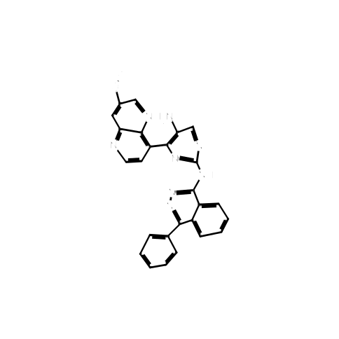 COc1cnc2c(-c3nc(Nc4nnc(-c5ccccc5)c5ccccc45)ncc3N)ccnc2c1